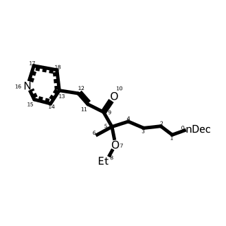 CCCCCCCCCCCCCCC(C)(OCC)C(=O)C=Cc1ccncc1